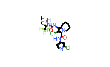 CC(NC(=O)Nc1c(Cl)c(C(=O)Nc2ccnc(Cl)c2)n2c1CCCCC2)C(F)(F)F